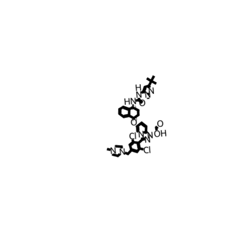 CN1CCN(Cc2cc(Cl)c(-c3nnc4ccc(O[C@@H]5CC[C@H](NC(=O)Nc6cc(C(C)(C)C)nn6C)c6ccccc65)cn34)c(Cl)c2)CC1.O=CO